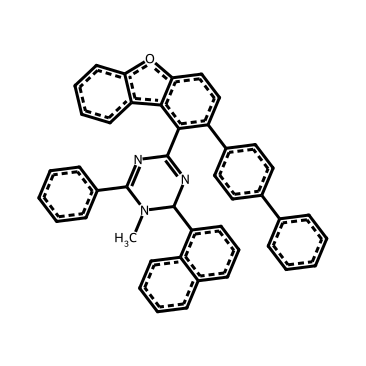 CN1C(c2ccccc2)=NC(c2c(-c3ccc(-c4ccccc4)cc3)ccc3oc4ccccc4c23)=NC1c1cccc2ccccc12